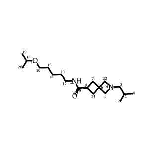 CC(C)CN1CC2(CC(C(=O)NCCCCCOC(C)C)C2)C1